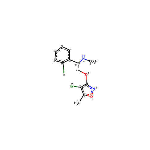 Cc1onc(OC[C@@H](NC(=O)O)c2ccccc2F)c1Br